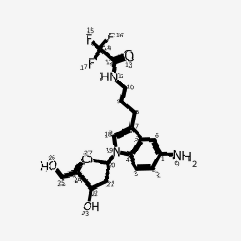 Nc1ccc2c(c1)c(CCCNC(=O)C(F)(F)F)cn2C1CC(O)C(CO)O1